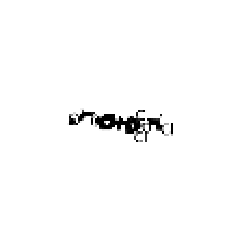 COC[C@H](C)COc1ccc(C(C)(C)c2cc(Cl)c(OC[C@H](C)CCl)c(Cl)c2)cc1